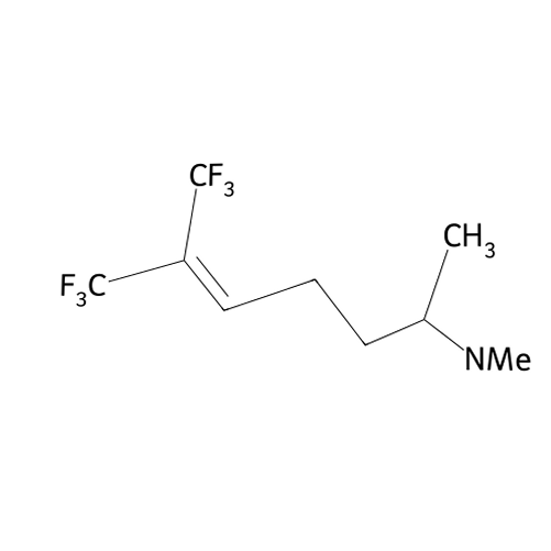 CNC(C)CCC=C(C(F)(F)F)C(F)(F)F